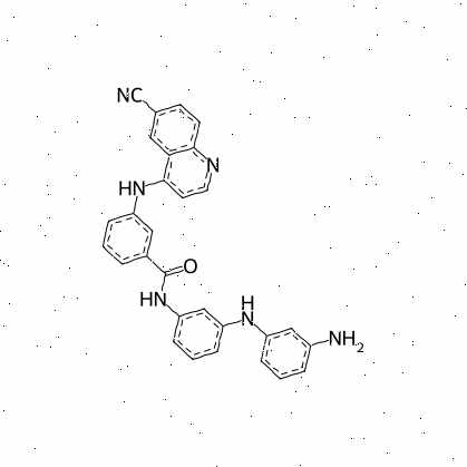 N#Cc1ccc2nccc(Nc3cccc(C(=O)Nc4cccc(Nc5cccc(N)c5)c4)c3)c2c1